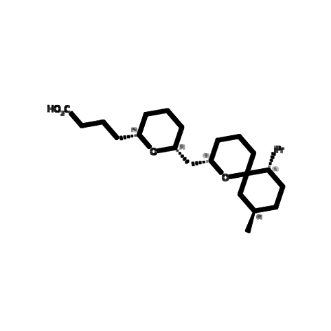 CC(C)[C@@H]1CC[C@@H](C)CC12CCC[C@@H](C[C@H]1CCC[C@@H](CCCC(=O)O)O1)O2